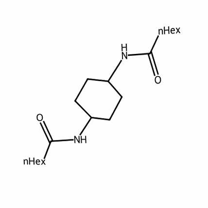 CCCCCCC(=O)NC1CCC(NC(=O)CCCCCC)CC1